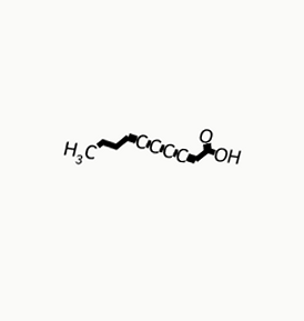 CCCC=C=C=C=C=CC(=O)O